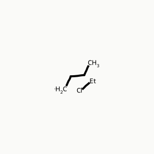 CCCl.[CH2]CCC